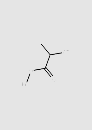 CC(C)OC(=O)C(C)C(F)(F)F